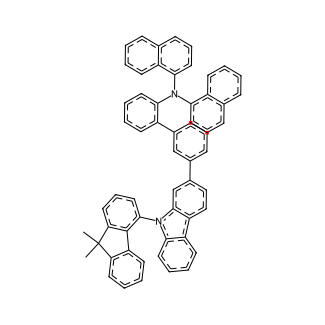 CC1(C)c2ccccc2-c2c(-n3c4ccccc4c4ccc(-c5cccc(-c6ccccc6N(c6cccc7ccccc67)c6cccc7ccccc67)c5)cc43)cccc21